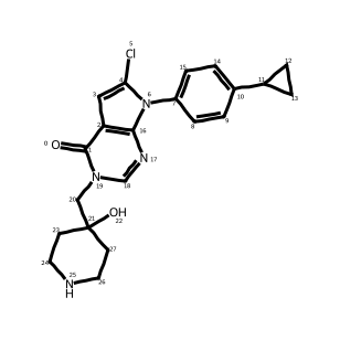 O=c1c2cc(Cl)n(-c3ccc(C4CC4)cc3)c2ncn1CC1(O)CCNCC1